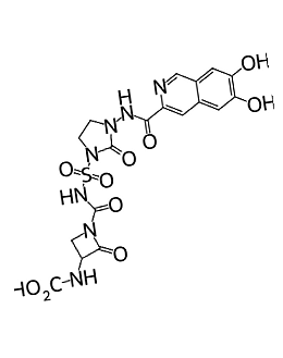 O=C(O)NC1CN(C(=O)NS(=O)(=O)N2CCN(NC(=O)c3cc4cc(O)c(O)cc4cn3)C2=O)C1=O